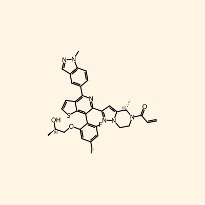 C=CC(=O)N1CCn2nc(-c3nc(-c4ccc5c(cnn5C)c4)c4ccsc4c3-c3c(F)cc(F)cc3OC[C@@H](C)O)cc2[C@@H]1C